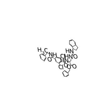 C[C@H](NC(=O)c1cc(Cl)c(C(=O)NC(CNC(=O)N[C@@H]2CCc3ccccc32)C(=O)OCc2ccccc2)c(Cl)c1)c1ccccc1